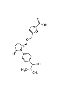 CC(C)C(O)c1ccc(N2C(=O)CC[C@H]2COCc2ccc(C(=O)O)o2)cc1